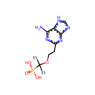 CCC(CC)(OCCc1nc(N)c2[nH]cnc2n1)P(=O)(O)O